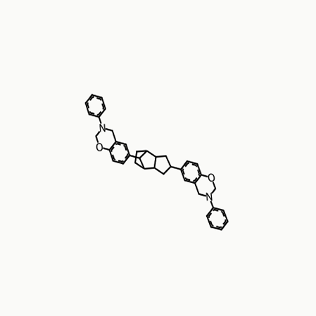 c1ccc(N2COc3ccc(C4CC5C(C4)C4CCC5C4c4ccc5c(c4)CN(c4ccccc4)CO5)cc3C2)cc1